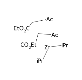 CCOC(=O)CC(C)=O.CCOC(=O)CC(C)=O.C[CH](C)[Zr][CH](C)C